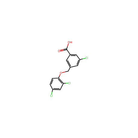 O=C(O)c1cc(Cl)cc(COc2ccc(Cl)cc2Cl)c1